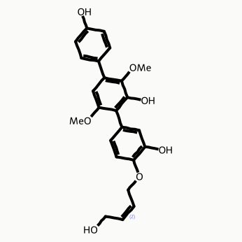 COc1cc(-c2ccc(O)cc2)c(OC)c(O)c1-c1ccc(OC/C=C\CO)c(O)c1